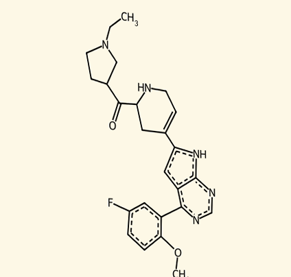 CCN1CCC(C(=O)C2CC(c3cc4c(-c5cc(F)ccc5OC)ncnc4[nH]3)=CCN2)C1